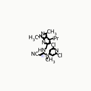 Cc1nn(C)c2nc(CN/C(=C\C#N)N(C)c3cc(Cl)nc(Cl)c3)cc(C(C)C)c12